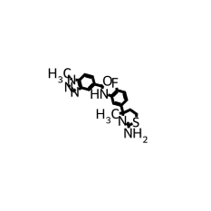 Cn1nnc2cc(C(=O)Nc3cc(C4(C)CCSC(N)=N4)ccc3F)ccc21